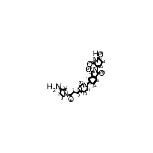 N[C@@H]1CCN(C(=O)CCN2CCN(c3ccc4c(c3)C(=O)N(C3CCC(=O)NC3=O)C4=O)CC2)C1